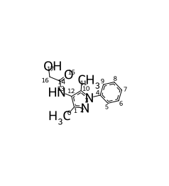 Cc1nn(-c2ccccc2)c(C)c1NC(=O)CO